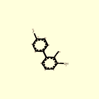 Cc1c(O)cccc1-c1ccc(F)cc1